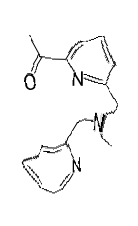 CC(=O)c1cccc(CN(C)Cc2ccccn2)n1